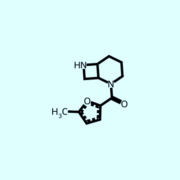 Cc1ccc(C(=O)N2CCCC3NCC32)o1